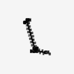 CCCCCOP(=O)(O)OCCCCCCCCCCCCCCCC(=O)O